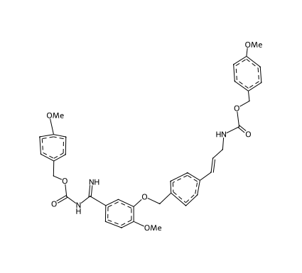 COc1ccc(COC(=O)NCC=Cc2ccc(COc3cc(C(=N)NC(=O)OCc4ccc(OC)cc4)ccc3OC)cc2)cc1